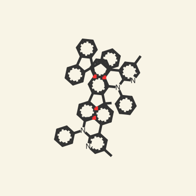 Cc1cnc(N(c2ccccc2)c2ccc3c(c2)C(C)(C)c2c-3cc3c(c2N(c2ccccc2)c2ncc(C)cc2-c2ccccc2C)-c2ccccc2C32c3ccccc3-c3ccccc32)c(-c2ccccc2C)c1